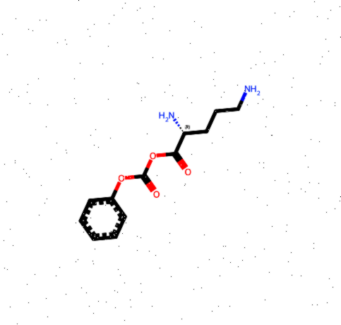 NCCC[C@@H](N)C(=O)OC(=O)Oc1ccccc1